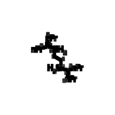 CCCN(CCC)[SiH2]CC[SiH2]N(CCC)CCC